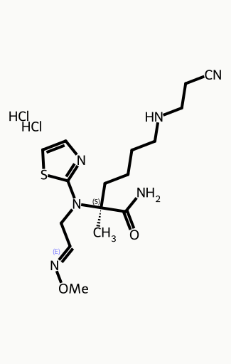 CO/N=C/CN(c1nccs1)[C@@](C)(CCCCNCCC#N)C(N)=O.Cl.Cl